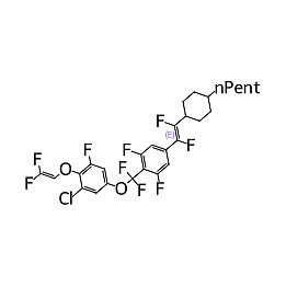 CCCCCC1CCC(/C(F)=C(\F)c2cc(F)c(C(F)(F)Oc3cc(F)c(OC=C(F)F)c(Cl)c3)c(F)c2)CC1